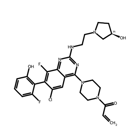 C=CC(=O)N1CCN(c2nc(NCCN3CC[C@@H](O)C3)nc3c(F)c(-c4c(O)cccc4F)c(Cl)cc23)CC1